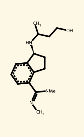 C/N=C(\NC)c1cccc2c1CC[C@@H]2NC(C)CCO